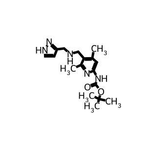 Cc1cc(NC(=O)OC(C)(C)C)nc(C)c1CNCc1cc[nH]n1